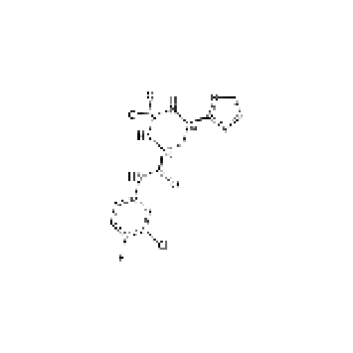 O=C(Nc1ccc(F)c(Cl)c1)[C@@H]1C[C@H](c2nccs2)NS(=O)(=O)N1